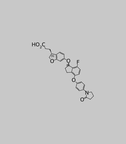 O=C(O)CC[C@@H]1COc2cc(O[C@@H]3CCc4c(Oc5ccc(N6CCCC6=O)cc5)ccc(F)c43)ccc21